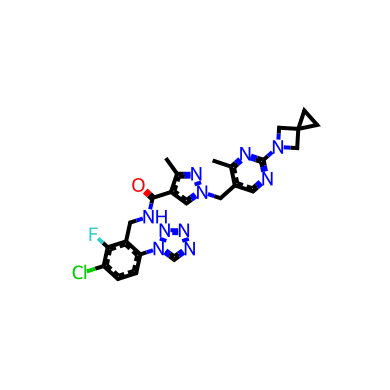 Cc1nc(N2CC3(CC3)C2)ncc1Cn1cc(C(=O)NCc2c(-n3cnnn3)ccc(Cl)c2F)c(C)n1